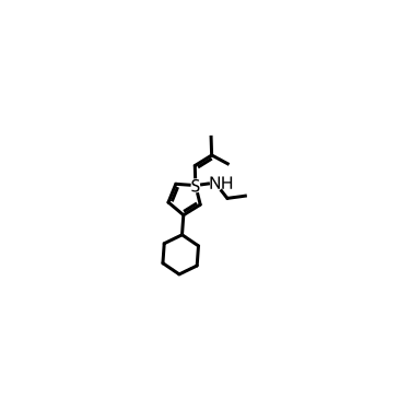 CCNS1(C=C(C)C)C=CC(C2CCCCC2)=C1